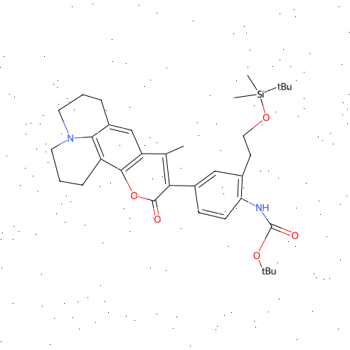 Cc1c(-c2ccc(NC(=O)OC(C)(C)C)c(CCO[Si](C)(C)C(C)(C)C)c2)c(=O)oc2c3c4c(cc12)CCCN4CCC3